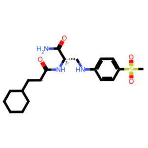 CS(=O)(=O)c1ccc(NC[C@H](NC(=O)[CH]CC2CCCCC2)C(N)=O)cc1